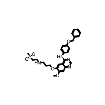 COc1cc2ncnc(Nc3ccc(OCc4ccccc4)cc3)c2cc1OCCCNCCS(C)(=O)=O